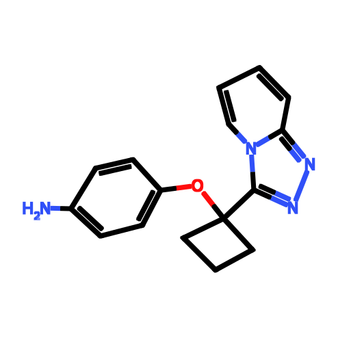 Nc1ccc(OC2(c3nnc4ccccn34)CCC2)cc1